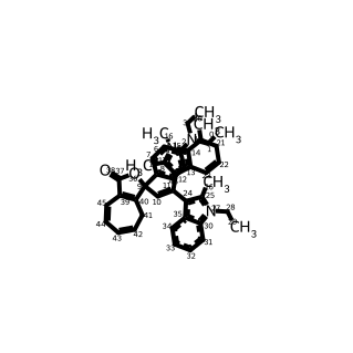 CCN(CC)c1ccc(C2(/C=C(\c3c4c(n(C)c3C)C(C)CC=C4)c3c(C)n(CC)c4ccccc34)OC(=O)C3=C2CC=CC=C3)cc1